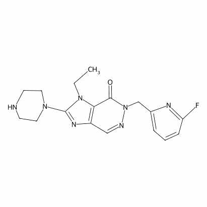 CCn1c(N2CCNCC2)nc2cnn(Cc3cccc(F)n3)c(=O)c21